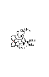 CCCCN(CCCC)c1ccc(C2(c3c(C)n(CCCC)c4ccccc34)OC(=O)c3ccccc32)c(OCC(N)=O)c1